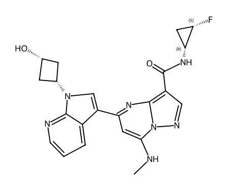 CNc1cc(-c2cn([C@H]3C[C@@H](O)C3)c3ncccc23)nc2c(C(=O)N[C@@H]3C[C@@H]3F)cnn12